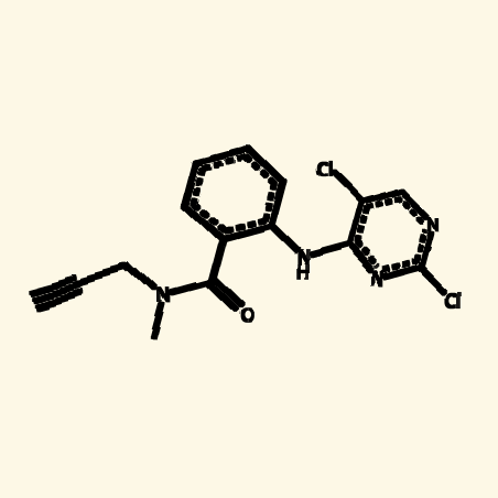 C#CCN(C)C(=O)c1ccccc1Nc1nc(Cl)ncc1Cl